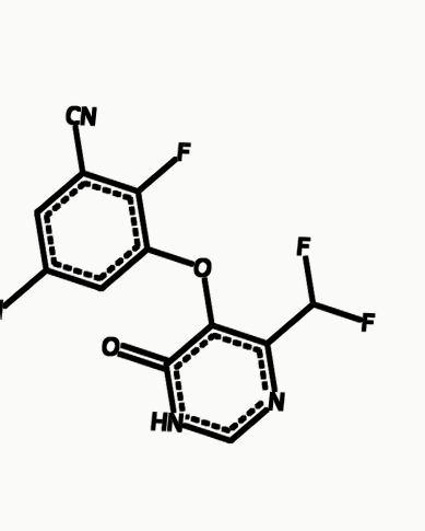 N#Cc1cc(Cl)cc(Oc2c(C(F)F)nc[nH]c2=O)c1F